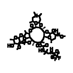 CON=C1C[C@@H](C)O[C@@H](O[C@@H]2[C@@H](C)[C@H](O[C@H]3CC(C)N(C)C[C@H](C)O3)[C@@H](C)C(=O)O[C@H](C(C)CO[C@@H]3O[C@H](C)[C@@H](O)[C@@H](OC)[C@H]3OC)[C@H](C)[C@@H](OC(=O)CC(C)C)[C@@H](C)C(=O)[C@@](C)(OC(=O)NC(C)(C)CNS(=O)(=O)C(F)(F)F)C[C@@H]2C)[C@@H]1O